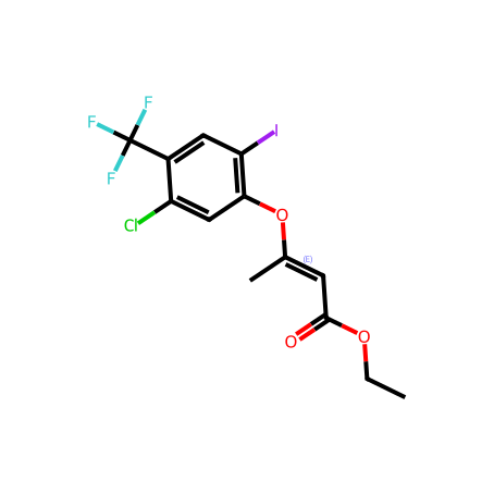 CCOC(=O)/C=C(\C)Oc1cc(Cl)c(C(F)(F)F)cc1I